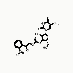 Cc1cn([C@@H]2O[C@H](CO)C(OC(=O)OCC(Cl)c3ccccc3[N+](=O)[O-])C2O)c(=O)[nH]c1=O